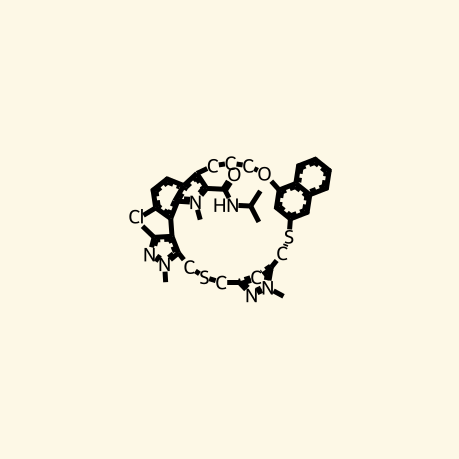 Cc1nn(C)c2c1-c1c(Cl)ccc3c(c(C(=O)NC(C)C)n(C)c13)CCCOc1cc(cc3ccccc13)SCc1cc(nn1C)CSC2